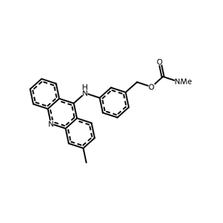 CNC(=O)OCc1cccc(Nc2c3ccccc3nc3cc(C)ccc23)c1